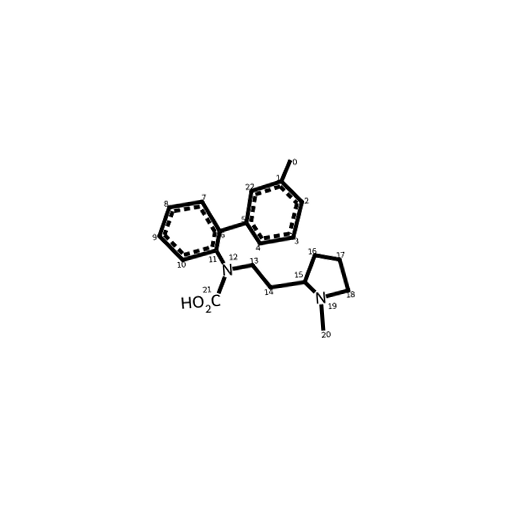 Cc1cccc(-c2ccccc2N(CCC2CCCN2C)C(=O)O)c1